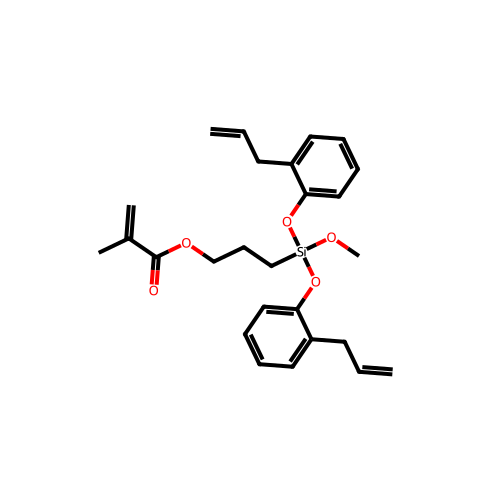 C=CCc1ccccc1O[Si](CCCOC(=O)C(=C)C)(OC)Oc1ccccc1CC=C